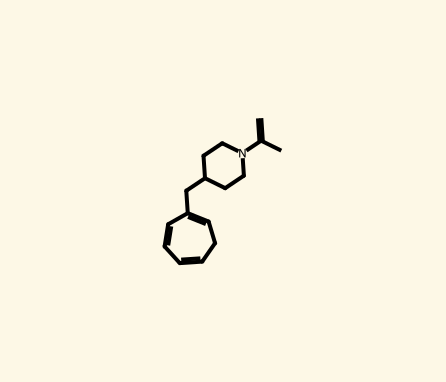 C=C(C)N1CCC(CC2=CCC=CC=C2)CC1